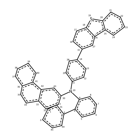 c1ccc(-c2ccccc2N(c2ccc(-c3ccc4sc5ccccc5c4c3)cc2)c2ccc3ccc4ccccc4c3c2)cc1